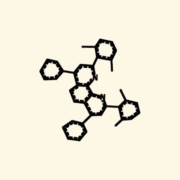 Cc1cccc(C)c1-c1cc(-c2ccccc2)c2ccc3c(-c4ccccc4)cc(-c4c(C)cccc4C)nc3c2n1